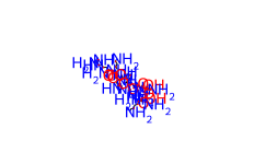 N=C(N)NCCC[C@@H](NC(=O)[C@H](CCCCN)NC(=O)C(Cc1cnc[nH]1)NC(=O)[C@@H]1CCCN1C(=O)[C@@H](CCCN)NC(=O)CNC(=O)[C@@H](NC(=O)[C@@H](NC(=O)C(N)CCCCN)[C@@H](O)CN)[C@@H](O)CN)C(N)=O